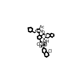 CC(=O)c1cn(Cc2ccccc2)c(-c2ccc(C(=O)NS(=O)(=O)c3ccc4cccc(Cl)c4c3)cc2C(=O)N2Cc3ccccc3C[C@H]2CO)n1